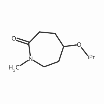 CC(C)OC1CCC(=O)N(C)CC1